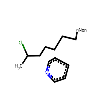 CCCCCCCCCCCCCCC(C)Cl.c1ccncc1